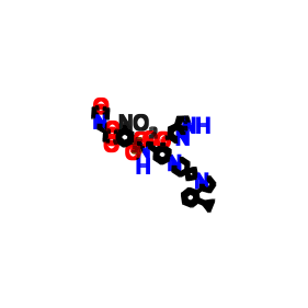 O=C(NS(=O)(=O)c1cc2c(c([N+](=O)[O-])c1)O[C@H](CN1CCOCC1)CO2)c1ccc(N2CCC3(CC2)CC(N2CCC[C@H]2c2ccccc2C2CC2)C3)cc1Oc1cnc2[nH]ccc2c1